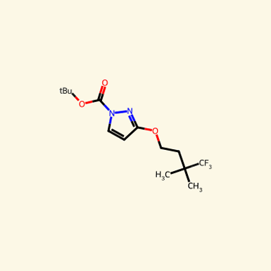 CC(C)(C)OC(=O)n1ccc(OCCC(C)(C)C(F)(F)F)n1